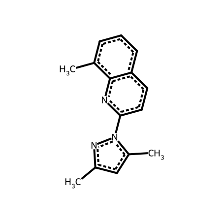 Cc1cc(C)n(-c2ccc3cccc(C)c3n2)n1